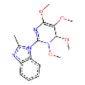 COC1=C(OC)C(OC)N(OC)C(n2c(C)nc3ccccc32)=N1